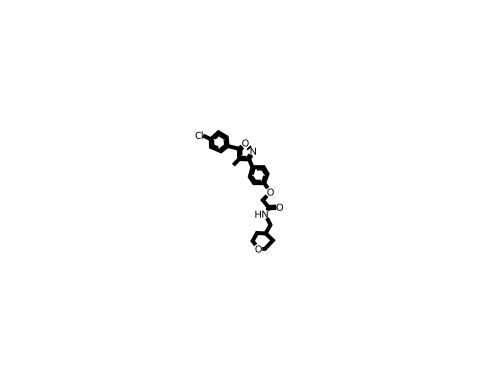 Cc1c(-c2ccc(OCC(=O)NCC3CCOCC3)cc2)noc1-c1ccc(Cl)cc1